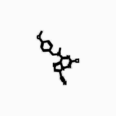 COc1ccc(CN(C)c2nc(Cl)nn3c(C#N)cnc23)cc1